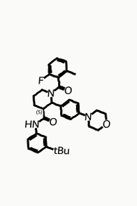 Cc1cccc(F)c1C(=O)N1CCC[C@H](C(=O)Nc2cccc(C(C)(C)C)c2)C1c1ccc(N2CCOCC2)cc1